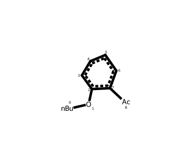 CCCCOc1ccccc1C(C)=O